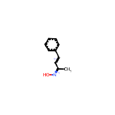 CC(/C=C/c1ccccc1)=N/O